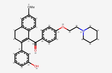 COc1ccc2c(c1)CCC(c1cccc(O)c1)=C2C(=O)c1ccc(OCCN2CCCCC2)cc1